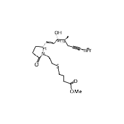 CCCC#CC[C@H](C)[C@@H](O)C=C[C@H]1CCC(=O)N1CCSCCCC(=O)OC